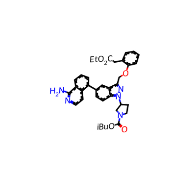 CCOC(=O)Cc1ccccc1OCc1nn(C2CCN(C(=O)OCC(C)C)C2)c2ccc(-c3cccc4c(N)nccc34)cc12